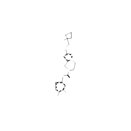 O=C(Nc1ccc(F)c(Cl)c1)N1CCn2nc(NCC3(O)CCC3)cc2C1